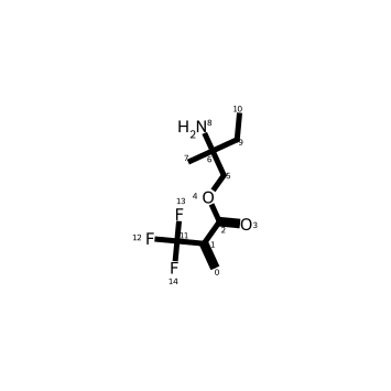 C=C(C(=O)OCC(C)(N)CC)C(F)(F)F